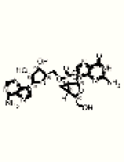 Nc1nc2c(ncn2[C@@H]2O[C@H](CO)[C@@H]3C[C@]32P(=O)(O)OC[C@H]2O[C@@H](n3cnc4c(N)ncnc43)[C@H](O)[C@@H]2O)c(=O)[nH]1